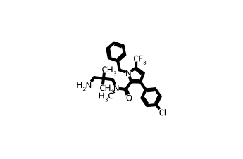 CN(CC(C)(C)CN)C(=O)c1c(-c2ccc(Cl)cc2)cc(C(F)(F)F)n1Cc1ccccc1